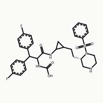 O=C(O)NC(C(=O)NC1CC1CC[C@H]1CNCCN1S(=O)(=O)c1ccccc1)C(c1ccc(F)cc1)c1ccc(F)cc1